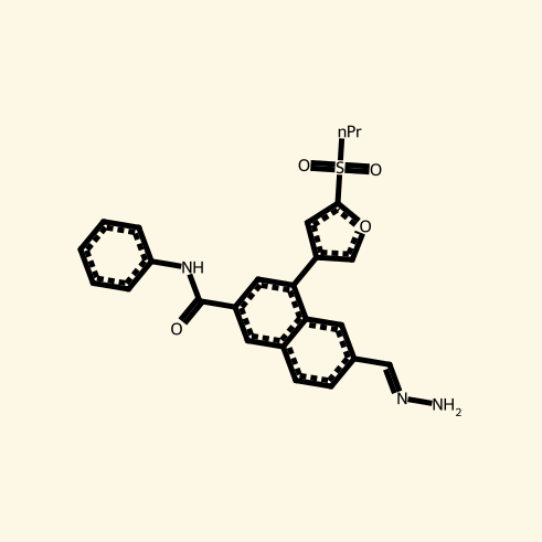 CCCS(=O)(=O)c1cc(-c2cc(C(=O)Nc3ccccc3)cc3ccc(C=NN)cc23)co1